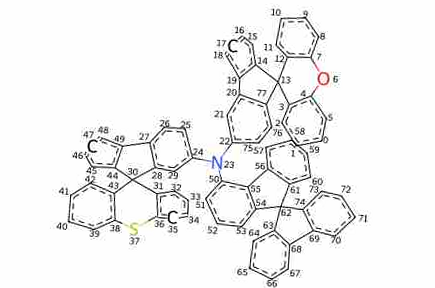 c1ccc2c(c1)Oc1ccccc1C21c2ccccc2-c2cc(N(c3ccc4c(c3)C3(c5ccccc5Sc5ccccc53)c3ccccc3-4)c3cccc4c3-c3ccccc3C43c4ccccc4-c4ccccc43)ccc21